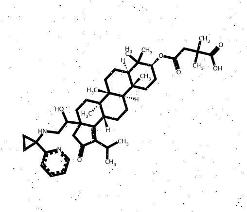 CC(C)C1=C2[C@H]3CC[C@@H]4[C@@]5(C)CC[C@H](OC(=O)CC(C)(C)C(=O)O)C(C)(C)[C@@H]5CC[C@@]4(C)[C@]3(C)CCC2(C(O)CNC2(c3ccccn3)CC2)CC1=O